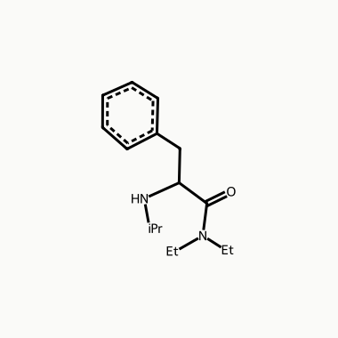 CCN(CC)C(=O)C(Cc1ccccc1)NC(C)C